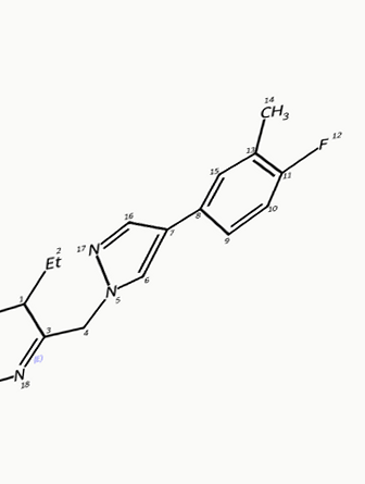 CCC(CC)/C(Cn1cc(-c2ccc(F)c(C)c2)cn1)=N\C